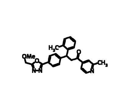 COCc1nnc(-c2ccc(C(CC(=O)c3ccnc(C)c3)c3ccccc3C)cc2)o1